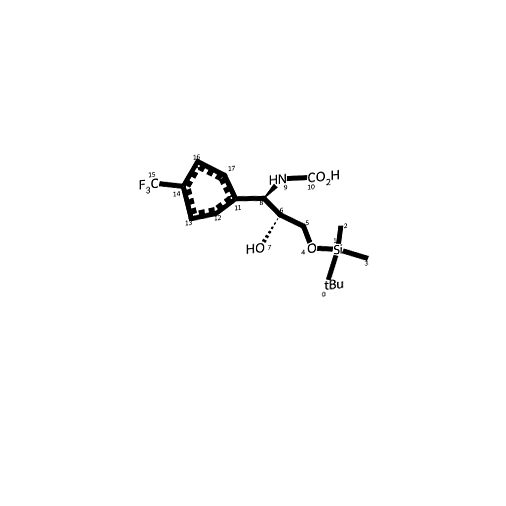 CC(C)(C)[Si](C)(C)OC[C@H](O)[C@H](NC(=O)O)c1ccc(C(F)(F)F)cc1